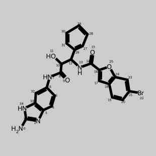 Nc1nc2ccc(NC(=O)C(O)C(NC(=O)c3cc4ccc(Br)cc4o3)c3ccccc3)cc2[nH]1